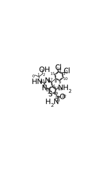 CC(CO)Nc1nc(-c2ccc(Cl)c(Cl)c2)c2c(N)c(C(N)=O)sc2n1